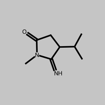 CC(C)C1CC(=O)N(C)C1=N